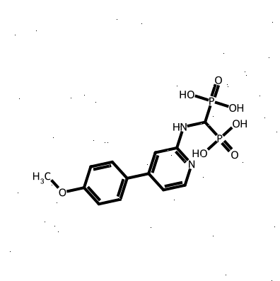 COc1ccc(-c2ccnc(NC(P(=O)(O)O)P(=O)(O)O)c2)cc1